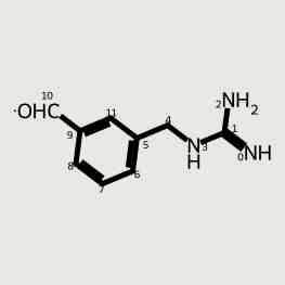 N=C(N)NCc1cccc([C]=O)c1